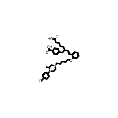 CC1CN(CCCCCOc2ccccc2/C=C/C(CCCCC(=O)O)Cc2ccc(C(=O)O)cc2)CCN1c1ccc(Cl)cc1